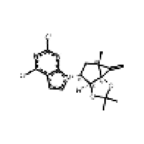 C=C1[C@@]23OC(C)(C)O[C@H]2[C@H](n2ccc4c(Cl)nc(Cl)nc42)C[C@]13C